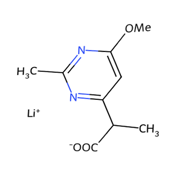 COc1cc(C(C)C(=O)[O-])nc(C)n1.[Li+]